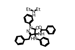 CCNCC.O=C(NC1(Nc2ccccc2)C(=O)N(c2ccccc2)N=C1Cc1ccccc1)c1ccccc1